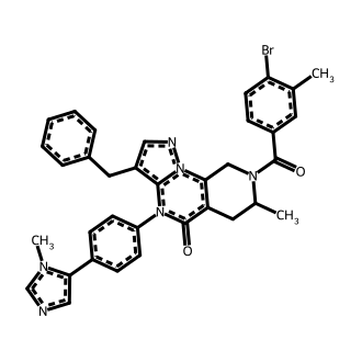 Cc1cc(C(=O)N2Cc3c(c(=O)n(-c4ccc(-c5cncn5C)cc4)c4c(Cc5ccccc5)cnn34)CC2C)ccc1Br